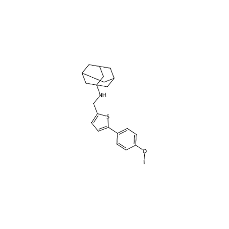 IOc1ccc(-c2ccc(CNC34CC5CC(CC(C5)C3)C4)s2)cc1